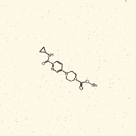 CC(C)(C)OC(=O)N1CCN(c2ccc(C(=O)NC3CC3)nc2)CC1